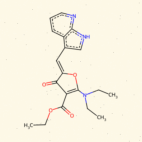 CCOC(=O)C1=C(N(CC)CC)O/C(=C\c2c[nH]c3ncccc23)C1=O